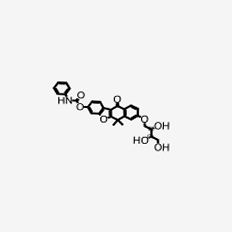 CC1(C)c2cc(OC[C@@H](O)[C@H](O)CO)ccc2C(=O)c2c1oc1cc(OC(=O)Nc3ccccc3)ccc21